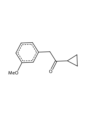 COc1cccc(CC(=O)C2CC2)c1